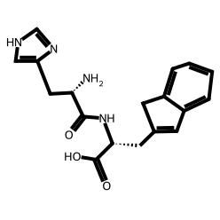 N[C@@H](Cc1c[nH]cn1)C(=O)N[C@H](CC1=Cc2ccccc2C1)C(=O)O